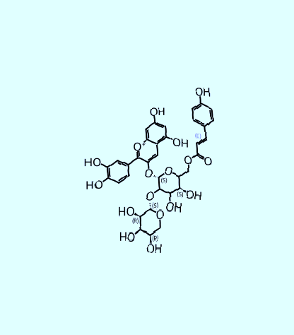 O=C(/C=C/c1ccc(O)cc1)OCC1O[C@@H](Oc2cc3c(O)cc(O)cc3[o+]c2-c2ccc(O)c(O)c2)C(O[C@@H]2OC[C@@H](O)C(O)[C@H]2O)C(O)[C@@H]1O